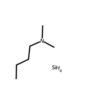 CCCCN(C)C.[SiH4]